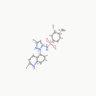 Cc1ccc2c(-n3nc(C)cc3NS(=O)(=O)c3ccc(C(C)(C)C)c(F)c3)cccc2n1